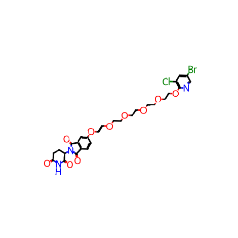 O=C1CCC(N2C(=O)c3ccc(OCCOCCOCCOCCOCCOc4ncc(Br)cc4Cl)cc3C2=O)C(=O)N1